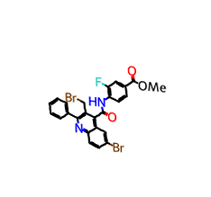 COC(=O)c1ccc(NC(=O)c2c(CBr)c(-c3ccccc3)nc3ccc(Br)cc23)c(F)c1